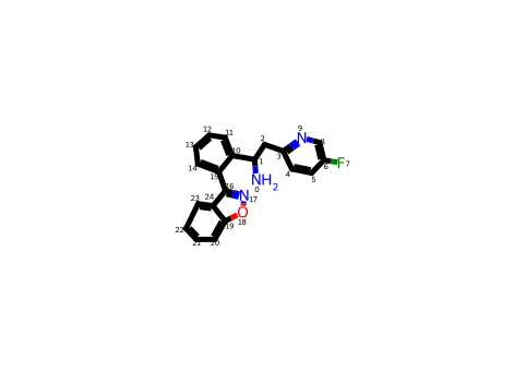 NC(Cc1ccc(F)cn1)c1ccccc1-c1noc2ccccc12